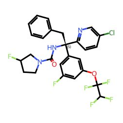 O=C(N[C@@](Cc1ccccc1)(c1cc(F)cc(OC(F)(F)C(F)F)c1)c1ccc(Cl)cn1)N1CCC(F)C1